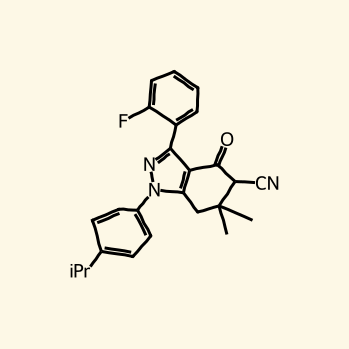 CC(C)c1ccc(-n2nc(-c3ccccc3F)c3c2CC(C)(C)C(C#N)C3=O)cc1